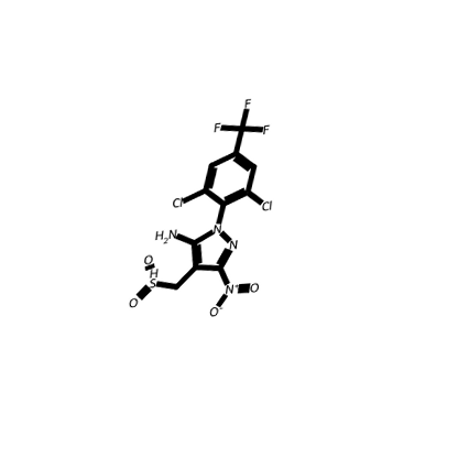 Nc1c(C[SH](=O)=O)c([N+](=O)[O-])nn1-c1c(Cl)cc(C(F)(F)F)cc1Cl